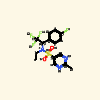 CCN([C@H](c1ccc(F)cc1)C(F)(F)F)S(=O)(=O)c1cnc(C)nc1